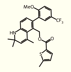 COc1ccc(C(F)(F)F)cc1-c1ccc2c(c1COC(=O)c1ccc(C)s1)C(C)=CC(C)(C)N2